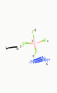 CC.F[B-](F)(F)F.N#[NH+]